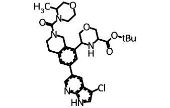 CC1COCCN1C(=O)N1CCc2cc(-c3cnc4[nH]cc(Cl)c4c3)cc(C3COCC(C(=O)OC(C)(C)C)N3)c2C1